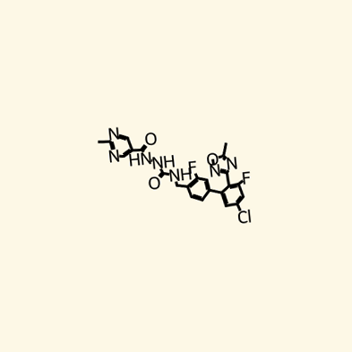 Cc1ncc(C(=O)NNC(=O)NCc2ccc(-c3cc(Cl)cc(F)c3-c3noc(C)n3)cc2F)cn1